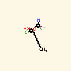 CC/C=C/CCCCCCCCc1cc(Cl)c(O)cc1OCc1cc(C)cc(C#N)c1